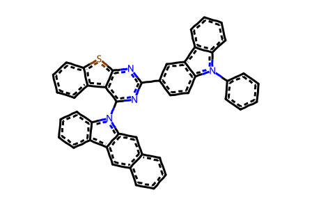 c1ccc(-n2c3ccccc3c3cc(-c4nc(-n5c6ccccc6c6cc7ccccc7cc65)c5c(n4)sc4ccccc45)ccc32)cc1